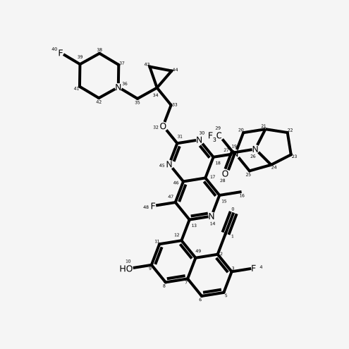 C#Cc1c(F)ccc2cc(O)cc(-c3nc(C)c4c(N5CC6CCC(C5)N6C(=O)C(F)(F)F)nc(OCC5(CN6CCC(F)CC6)CC5)nc4c3F)c12